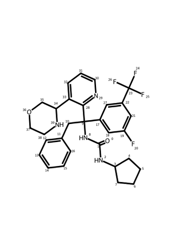 O=C(NC1CCCC1)NC(Cc1ccccc1)(c1cc(F)cc(C(F)(F)F)c1)c1ncccc1C1COCCN1